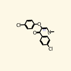 CN(C)/C=C(/Oc1ccc(Cl)cc1)C(=O)c1ccc(Cl)cc1